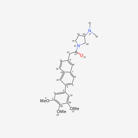 COc1cc(-c2ccc3cc(CC(=O)N4CCC(N(C)C)C4)ccc3c2)cc(OC)c1OC